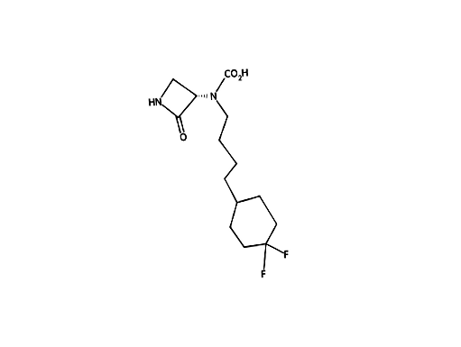 O=C1NC[C@@H]1N(CCCCC1CCC(F)(F)CC1)C(=O)O